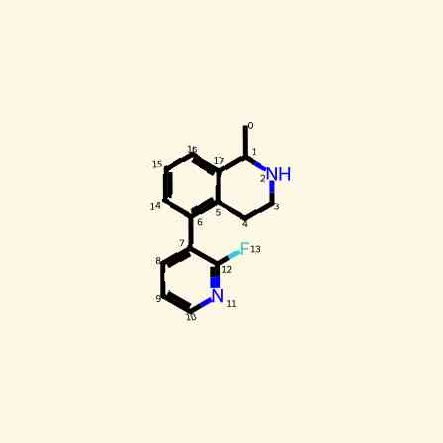 CC1NCCc2c(-c3cccnc3F)cccc21